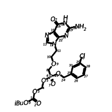 CC(C)COC(=O)OCOP(=O)(COCCn1cnc2c(=O)[nH]c(N)nc21)OCc1cccc(Cl)c1